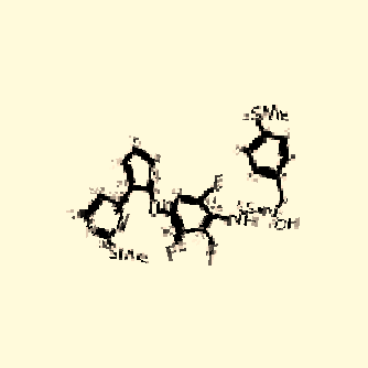 CSc1ccc(CN(O)SNc2c(F)cc(Oc3ncccc3-c3ccnc(SC)n3)c(F)c2F)cc1